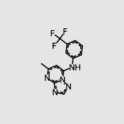 Cc1cc(Nc2cccc(C(F)(F)F)c2)n2ncnc2n1